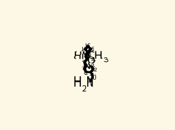 CC1(NC(=O)CN2CCC(CN)CC2)CCC1